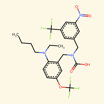 CCCCN(CC)c1ccc(OC(F)(F)F)cc1CN(Cc1cc([N+](=O)[O-])cc(C(F)(F)F)c1)C(=O)O